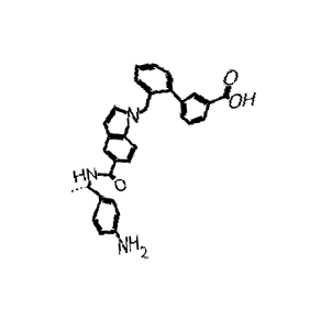 C[C@H](NC(=O)c1ccc2c(ccn2Cc2ccccc2-c2cccc(C(=O)O)c2)c1)c1ccc(N)cc1